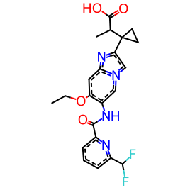 CCOc1cc2nc(C3(C(C)C(=O)O)CC3)cn2cc1NC(=O)c1cccc(C(F)F)n1